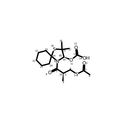 CC(=O)SC[C@@H](C)C(=O)N1[C@H](OC(=O)O)C(C)(C)SC12CCCCC2